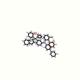 c1ccc(-c2ccc(N(c3ccc4c(c3)C3(c5ccccc5Oc5ccccc53)c3cc5ccccc5cc3-4)c3cccc4c3-c3ccccc3SC4)cc2)cc1